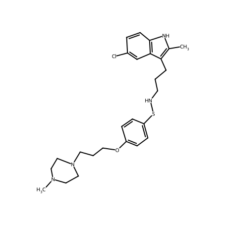 Cc1[nH]c2ccc(Cl)cc2c1CCCNSc1ccc(OCCCN2CCN(C)CC2)cc1